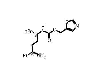 CCC[C@@H](CC[C@@H](N)CC)NC(=O)OCc1cncs1